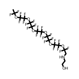 CC(F)(F)OC(F)(F)C(F)(F)OC(F)(F)C(F)(F)OC(F)(F)C(F)(F)OC(F)(F)C(F)(F)OC(F)(F)C(F)(F)OC(F)(F)CNCCO